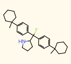 CC1(c2ccc(C(F)(c3ccc(C4(C)CCCCC4)cc3)C3CCCN3)cc2)CCCCC1